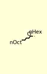 [CH2]C(CCCCCCCCCCCC)OCCCCCC